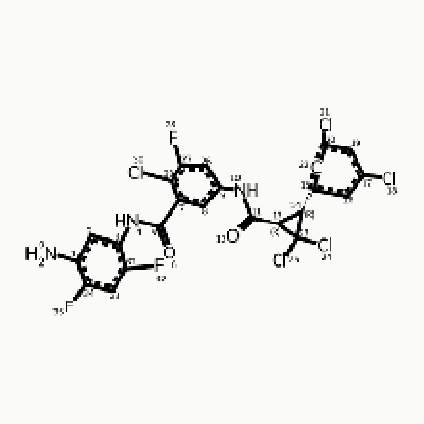 Nc1cc(NC(=O)c2cc(NC(=O)[C@H]3[C@H](c4cc(Cl)cc(Cl)c4)C3(Cl)Cl)cc(F)c2Cl)c(F)cc1F